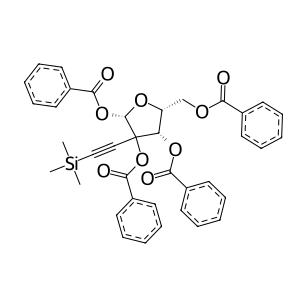 C[Si](C)(C)C#CC1(OC(=O)c2ccccc2)[C@H](OC(=O)c2ccccc2)O[C@H](COC(=O)c2ccccc2)[C@@H]1OC(=O)c1ccccc1